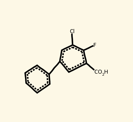 O=C(O)c1cc(-c2ccccc2)cc(Cl)c1F